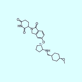 CO[C@H]1CC[C@@H](CNC2CCC[C@@H]2Oc2ccc3c(c2)CN(C2CCC(=O)NC2=O)C3=O)CC1